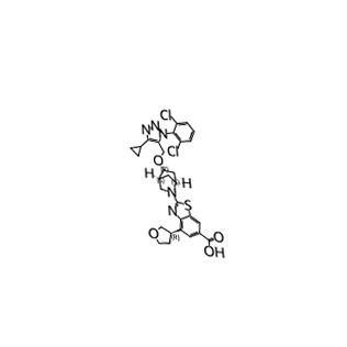 O=C(O)c1cc([C@H]2CCOC2)c2nc(N3C[C@@H]4C[C@H]3C[C@H]4OCc3c(C4CC4)nnn3-c3c(Cl)cccc3Cl)sc2c1